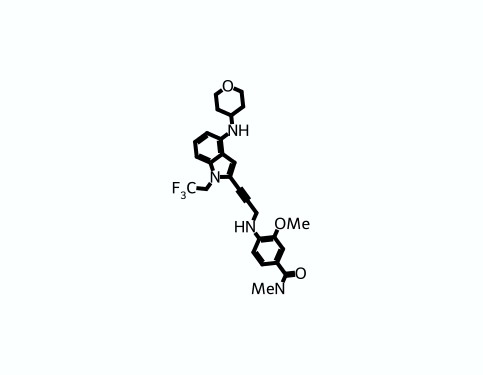 CNC(=O)c1ccc(NCC#Cc2cc3c(NC4CCOCC4)cccc3n2CC(F)(F)F)c(OC)c1